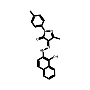 CC1=NN(c2ccc(C)cc2)C(=O)/C1=N\Nc1ccc2ccccc2c1O